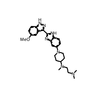 COc1ccc2[nH]nc(-c3nc4cc(N5CCC(N(C)CCN(C)C)CC5)ccc4[nH]3)c2c1